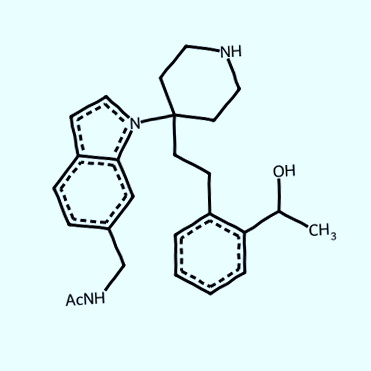 CC(=O)NCc1ccc2ccn(C3(CCc4ccccc4C(C)O)CCNCC3)c2c1